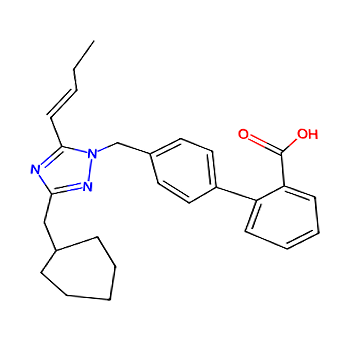 CC/C=C/c1nc(CC2CCCCC2)nn1Cc1ccc(-c2ccccc2C(=O)O)cc1